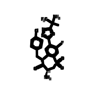 CC(N)(c1nnc(-c2cc3c(cc2F)S(=O)(=O)C[C@H](N)C(=O)N3Cc2ccc(Cl)cc2)o1)C(F)(F)F